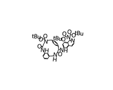 CC(C)(C)OC(=O)N1CC(=O)Nc2cccc(c2)CNC(=O)C(Nc2ccc3c(N(C(=O)OC(C)(C)C)C(=O)OC(C)(C)C)nccc3c2)c2ccc(cc2)C1